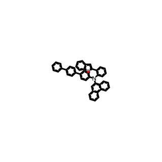 c1ccc(-c2ccc(-c3ccc(N(c4ccccc4-c4cc5ccccc5o4)c4cc5ccccc5c5ccccc45)cc3)cc2)cc1